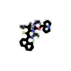 C=N/C(=N\C(=C(C)C)/C(F)=C(\N=C)c1cccc2cccc(F)c12)OCC12CCCN1CCC2